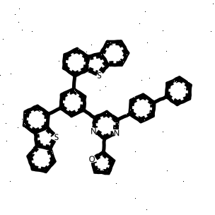 c1ccc(-c2ccc(-c3cc(-c4cc(-c5cccc6c5sc5ccccc56)cc(-c5cccc6c5sc5ccccc56)c4)nc(-c4ccco4)n3)cc2)cc1